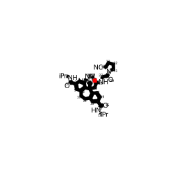 CC(C)NC(=O)c1ccc2c(c1)CCc1cc(C(=O)NC(C)C)ccc1C2(C[C@@H](C)NCC(=O)N1CCC[C@H]1C#N)c1nnn[nH]1